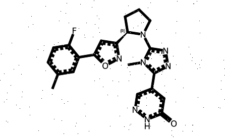 Cc1ccc(F)c(-c2cc([C@H]3CCCN3c3nnc(-c4cn[nH]c(=O)c4)n3C)no2)c1